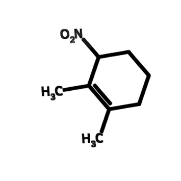 CC1=C(C)C([N+](=O)[O-])CCC1